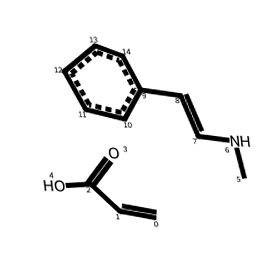 C=CC(=O)O.CNC=Cc1ccccc1